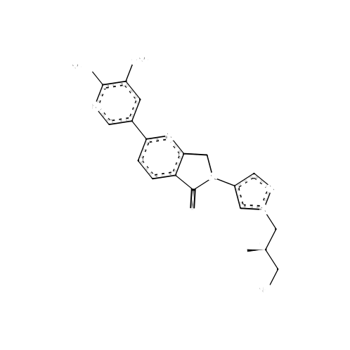 COc1cc(-c2ccc3c(n2)CN(c2cnn(C[C@H](O)CC#N)c2)C3=O)cnc1OC